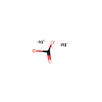 O=C([O-])[O-].[Hg+].[Hg+]